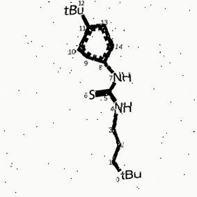 CC(C)(C)CCCNC(=S)Nc1ccc(C(C)(C)C)cc1